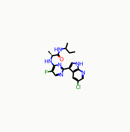 CCC(C)NC(=O)[C@H](C)Nc1nc(-c2c[nH]c3ncc(Cl)cc23)ncc1F